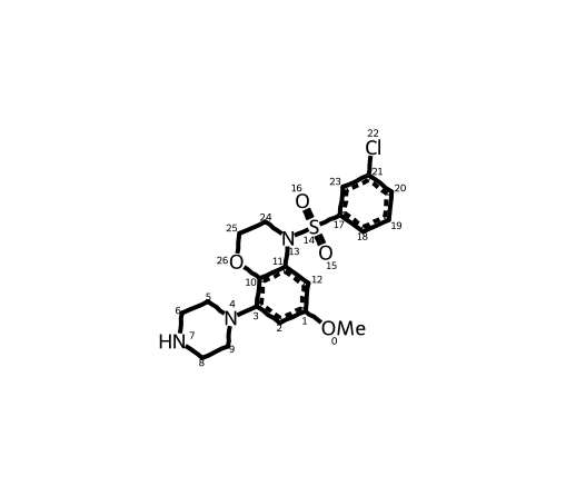 COc1cc(N2CCNCC2)c2c(c1)N(S(=O)(=O)c1cccc(Cl)c1)CCO2